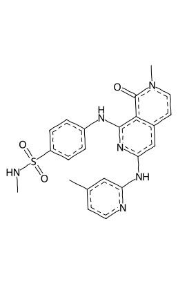 CNS(=O)(=O)c1ccc(Nc2nc(Nc3cc(C)ccn3)cc3ccn(C)c(=O)c23)cc1